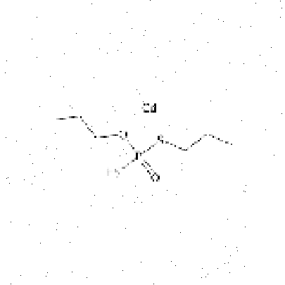 CCCOP(=O)(S)SCCC.[Cd]